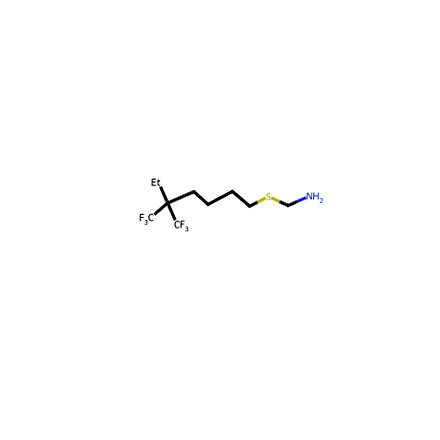 CCC(CCCCSCN)(C(F)(F)F)C(F)(F)F